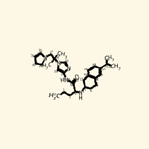 CCCC(NC1CCc2cc(C(C)C)ccc2C1)C(=O)Nc1cn(C(C)(C)CN2CCCC2)cn1